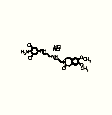 COc1cc2c(cc1OC)CC(=O)N(CCCNCCCNc1cc(Cl)c(N)c(Cl)c1)CC2.Cl.Cl